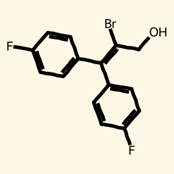 OCC(Br)=C(c1ccc(F)cc1)c1ccc(F)cc1